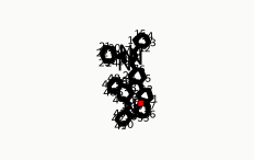 c1ccc(-c2ccc(-c3nc(-c4ccccc4)nc(-c4ccccc4)n3)cc2-c2cc(-n3c4c(c5ccccc53)C=CCC4)cc3ccccc23)cc#1